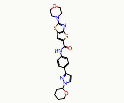 O=C(Nc1ccc(-c2ccn(C3CCCCO3)n2)cc1)c1cc2sc(N3CCOCC3)nc2s1